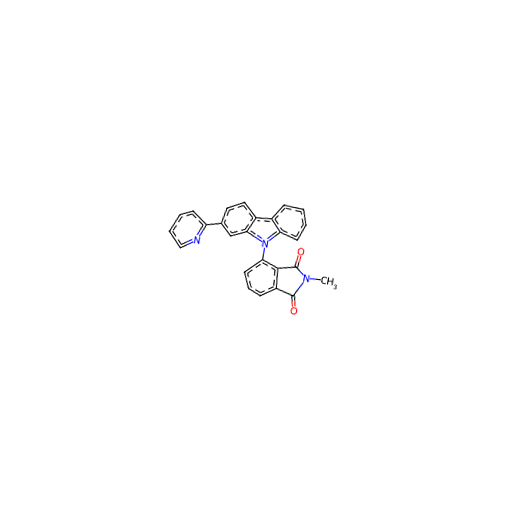 CN1C(=O)c2cccc(-n3c4ccccc4c4ccc(-c5ccccn5)cc43)c2C1=O